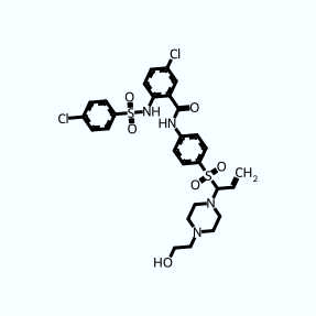 C=CC(N1CCN(CCO)CC1)S(=O)(=O)c1ccc(NC(=O)c2cc(Cl)ccc2NS(=O)(=O)c2ccc(Cl)cc2)cc1